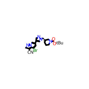 CC(C)(C)OC(=O)N1CCC[C@@H](Cn2cc(-c3cc(Br)c4c(C#N)cnn4c3)cn2)C1